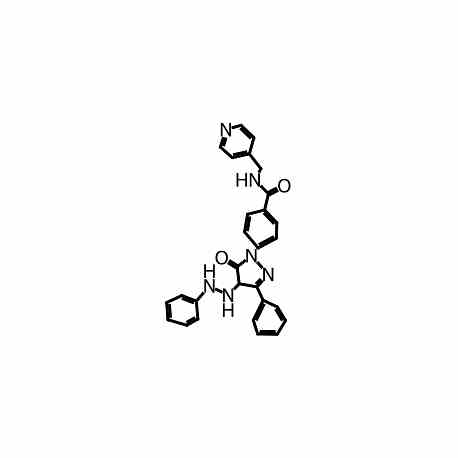 O=C(NCc1ccncc1)c1ccc(N2N=C(c3ccccc3)C(NNc3ccccc3)C2=O)cc1